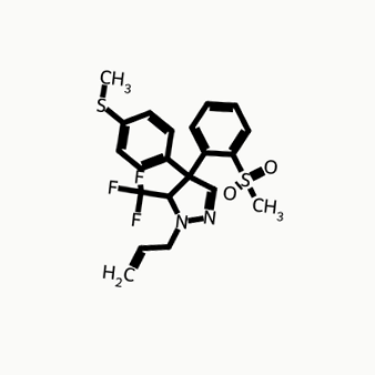 C=CCN1N=CC(c2ccc(SC)cc2)(c2ccccc2S(C)(=O)=O)C1C(F)(F)F